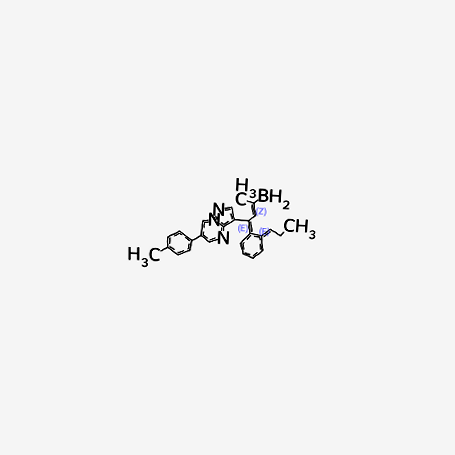 B/C(C)=C/C(c1cnn2cc(-c3ccc(C)cc3)cnc12)=c1/cccc/c1=C\CC